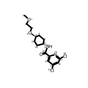 COCCO[C@H]1CC[C@H](NC(=O)c2cc(Cl)cc(Cl)n2)CC1